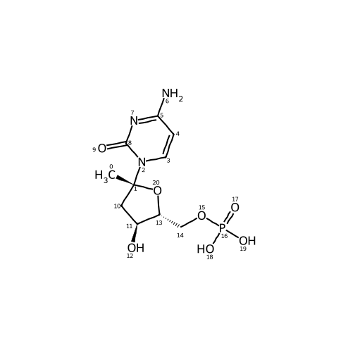 C[C@]1(n2ccc(N)nc2=O)C[C@H](O)[C@@H](COP(=O)(O)O)O1